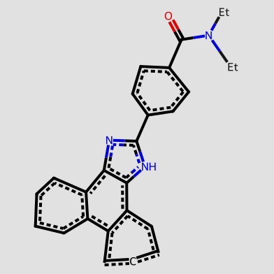 CCN(CC)C(=O)c1ccc(-c2nc3c4ccccc4c4ccccc4c3[nH]2)cc1